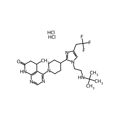 CC1CC(=O)Nc2ncnc(N3CCC(c4nc(CC(F)(F)F)cn4CCNC(C)(C)C)CC3)c21.Cl.Cl